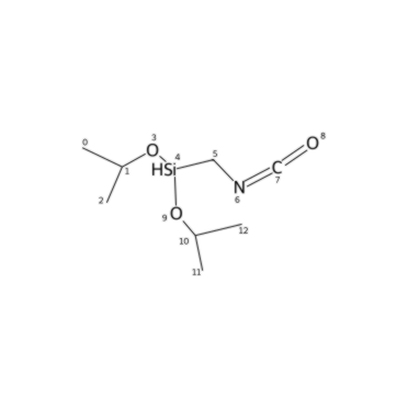 CC(C)O[SiH](CN=C=O)OC(C)C